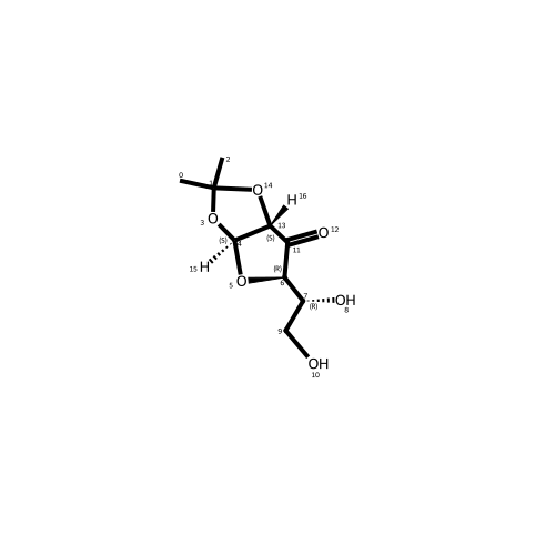 CC1(C)O[C@@H]2O[C@H]([C@H](O)CO)C(=O)[C@H]2O1